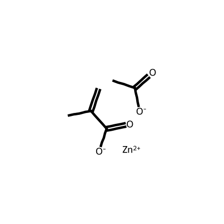 C=C(C)C(=O)[O-].CC(=O)[O-].[Zn+2]